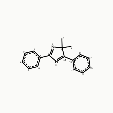 CC1(C)N=C(c2ccccc2)N=C1c1ccccc1